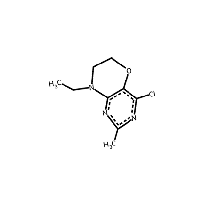 CCN1CCOc2c(Cl)nc(C)nc21